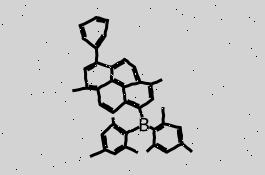 Cc1cc(C)c(B(c2c(C)cc(C)cc2C)c2cc(C)c3ccc4c(-c5ccccc5)cc(C)c5ccc2c3c54)c(C)c1